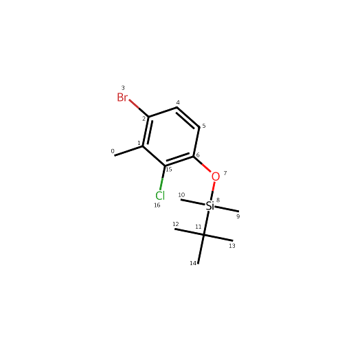 Cc1c(Br)ccc(O[Si](C)(C)C(C)(C)C)c1Cl